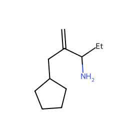 C=C(CC1CCCC1)C(N)CC